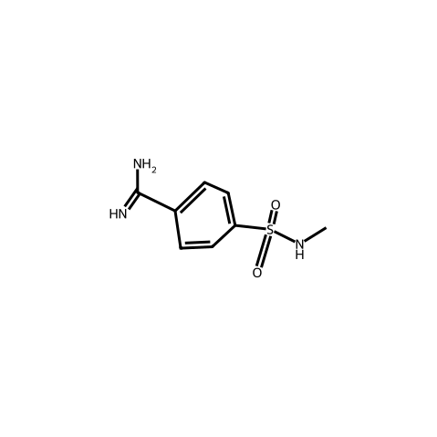 CNS(=O)(=O)c1ccc(C(=N)N)cc1